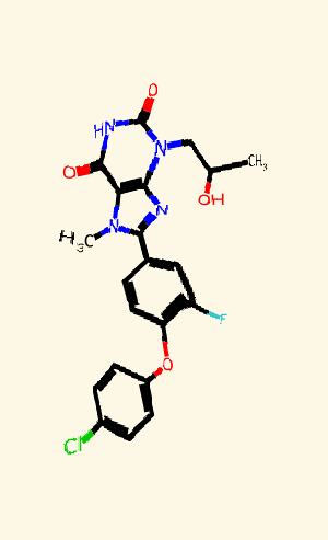 CC(O)Cn1c(=O)[nH]c(=O)c2c1nc(-c1ccc(Oc3ccc(Cl)cc3)c(F)c1)n2C